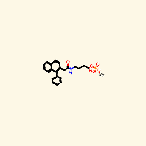 CC(C)OP(=O)(O)OCCCCNC(=O)Cc1ccc2ccccc2c1-c1ccccc1